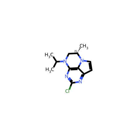 CC(C)N1C[C@H](C)n2ccc3nc(Cl)nc1c32